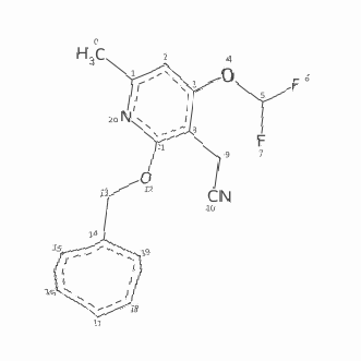 Cc1cc(OC(F)F)c(CC#N)c(OCc2ccccc2)n1